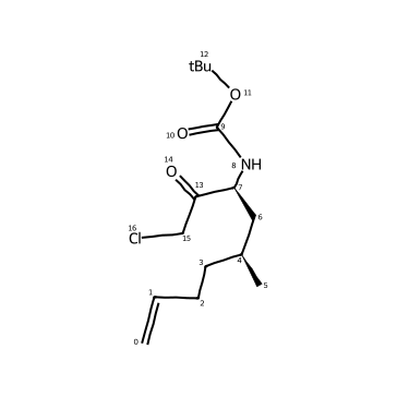 C=CCC[C@H](C)C[C@H](NC(=O)OC(C)(C)C)C(=O)CCl